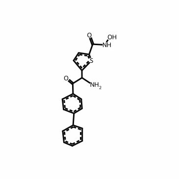 NC(C(=O)c1ccc(-c2ccccc2)cc1)c1ccc(C(=O)NO)s1